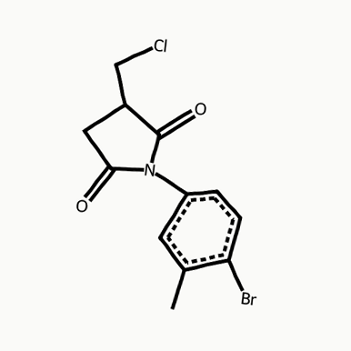 Cc1cc(N2C(=O)CC(CCl)C2=O)ccc1Br